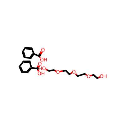 O=C(O)c1ccccc1.O=C(O)c1ccccc1.OCCOCCOCCOCCO